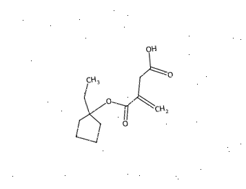 C=C(CC(=O)O)C(=O)OC1(CC)CCCC1